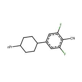 CCCC1CCC(c2cc(F)c(C#N)c(F)c2)CC1